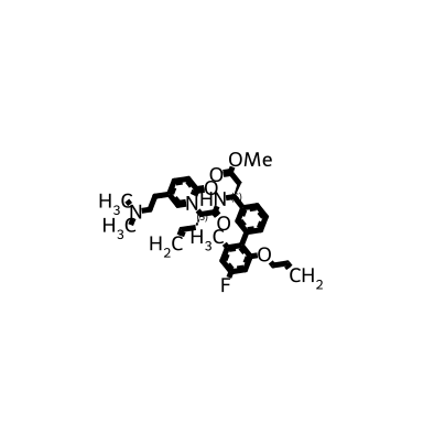 C=CCOc1cc(F)cc(C)c1-c1cccc([C@H](CC(=O)OC)NC(=O)[C@H](CC=C)n2cc(CCN(C)C)ccc2=O)c1